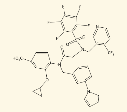 O=C(O)c1ccc(N(Cc2cccc(-n3cccc3)c2)C(=O)CN(Cc2cnccc2C(F)(F)F)S(=O)(=O)c2c(F)c(F)c(F)c(F)c2F)c(OC2CC2)c1